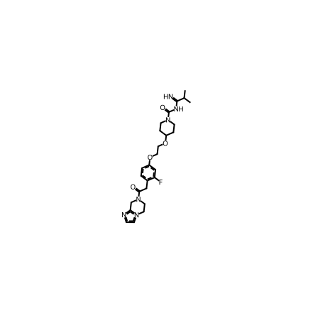 CC(C)C(=N)NC(=O)N1CCC(OCCOc2ccc(CC(=O)N3CCn4ccnc4C3)c(F)c2)CC1